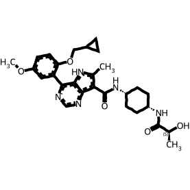 COc1ccc(OCC2CC2)c(-c2ncnc3c(C(=O)N[C@H]4CC[C@@H](NC(=O)[C@H](C)O)CC4)c(C)[nH]c23)c1